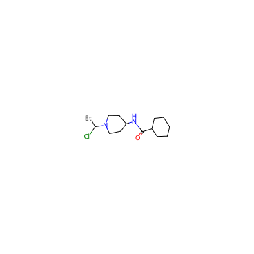 CCC(Cl)N1CCC(NC(=O)C2CCCCC2)CC1